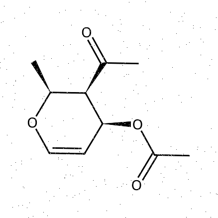 CC(=O)O[C@H]1C=CO[C@@H](C)[C@H]1C(C)=O